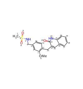 COc1cc(CNS(C)(=O)=O)ccc1Cc1cc2ccccc2[nH]c1=O